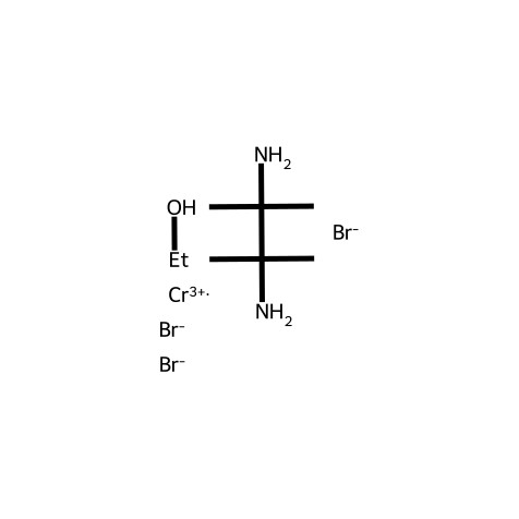 CC(C)(N)C(C)(C)N.CCO.[Br-].[Br-].[Br-].[Cr+3]